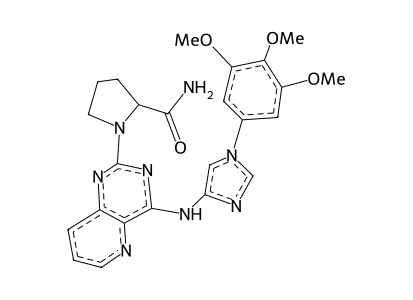 COc1cc(-n2cnc(Nc3nc(N4CCCC4C(N)=O)nc4cccnc34)c2)cc(OC)c1OC